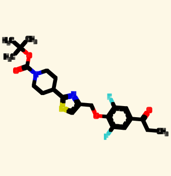 CCC(=O)c1cc(F)c(OCc2csc(C3CCN(C(=O)OC(C)(C)C)CC3)n2)c(F)c1